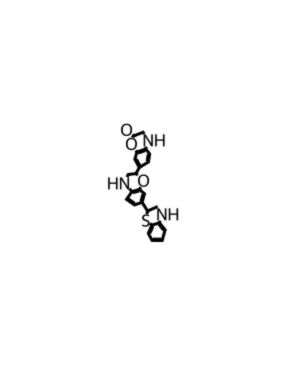 O=C1CNc2ccc(C3CNc4ccc(C5CNc6ccccc6S5)cc4O3)cc2O1